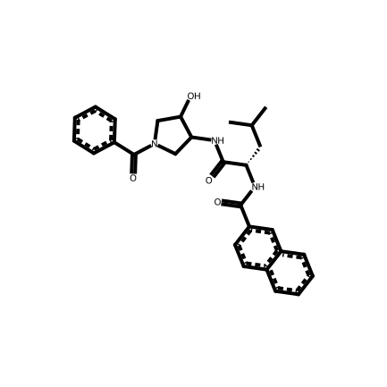 CC(C)C[C@H](NC(=O)c1ccc2ccccc2c1)C(=O)NC1CN(C(=O)c2ccccc2)CC1O